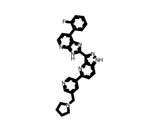 Fc1ccccc1-c1ccnc2[nH]c(-c3n[nH]c4ccc(-c5cncc(CN6CCCC6)c5)nc34)nc12